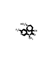 CN(C(=O)C1(C#N)CCN(C(=O)O)CC1)c1ccc(C(F)(F)F)nc1